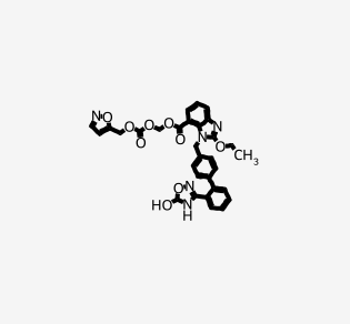 CCOc1nc2cccc(C(=O)OCOC(=O)OCc3ccno3)c2n1Cc1ccc(-c2ccccc2C2=NOC(O)N2)cc1